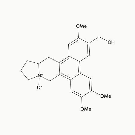 COc1cc2c3c(c4cc(OC)c(OC)cc4c2cc1CO)C[N+]1([O-])CCCC1C3